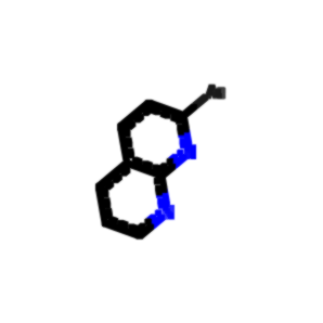 CC(=O)c1ccc2cccnc2n1